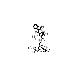 Cc1[nH]c(C(F)=C2C(=O)Nc3ccccc32)c(C)c1C(=O)NCCC1CC(CC(=O)OC(C)(C)C)OC(C)(C)O1